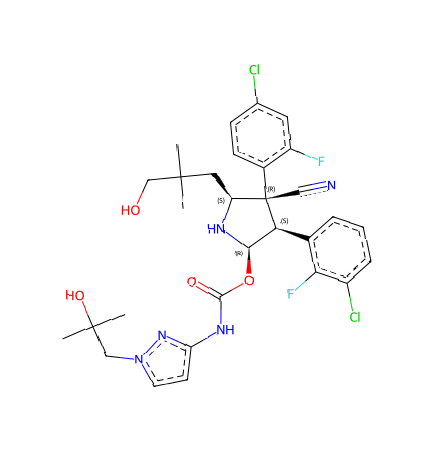 CC(C)(O)Cn1ccc(NC(=O)O[C@H]2N[C@@H](CC(C)(C)CO)[C@](C#N)(c3ccc(Cl)cc3F)[C@H]2c2cccc(Cl)c2F)n1